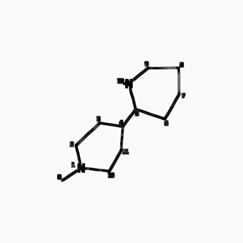 CN1CCC(C2CCCC[N]2)CC1